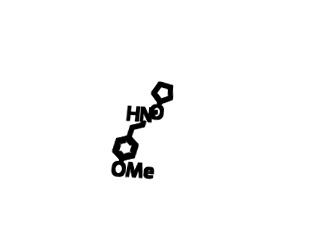 COc1ccc(CCNOC2CCCC2)cc1